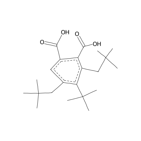 CC(C)(C)Cc1cc(C(=O)O)c(C(=O)O)c(CC(C)(C)C)c1C(C)(C)C